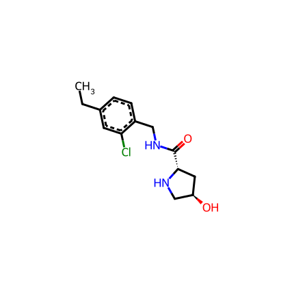 CCc1ccc(CNC(=O)[C@@H]2C[C@@H](O)CN2)c(Cl)c1